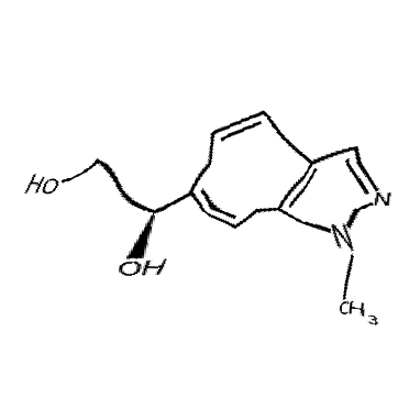 Cn1ncc2ccc([C@@H](O)CO)cc21